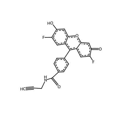 C#CCNC(=O)c1ccc(-c2c3cc(F)c(=O)cc-3oc3cc(O)c(F)cc23)cc1